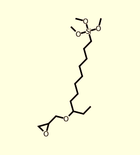 CCC(CCCCCCCC[Si](OC)(OC)OC)OCC1CO1